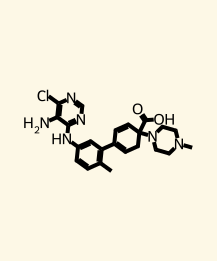 Cc1ccc(Nc2ncnc(Cl)c2N)cc1C1=CCC(C(=O)O)(N2CCN(C)CC2)C=C1